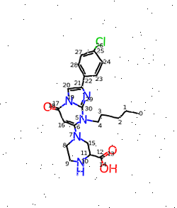 CCCCCn1c(N2CCNC(C(=O)O)C2)cc(=O)n2cc(-c3ccc(Cl)cc3)nc12